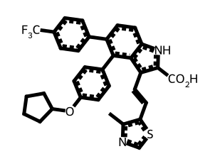 Cc1ncsc1C=Cc1c(C(=O)O)[nH]c2ccc(-c3ccc(C(F)(F)F)cc3)c(-c3ccc(OC4CCCC4)cc3)c12